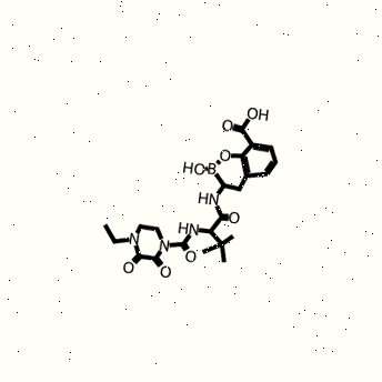 CCN1CCN(C(=O)NC(C(=O)NC2Cc3cccc(C(=O)O)c3OB2O)C(C)(C)C)C(=O)C1=O